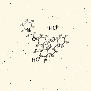 Cl.Oc1c(F)cc2c3c(ccc2c1F)-c1ccccc1OC3c1ccc(OCCN2CCCCC2)cc1